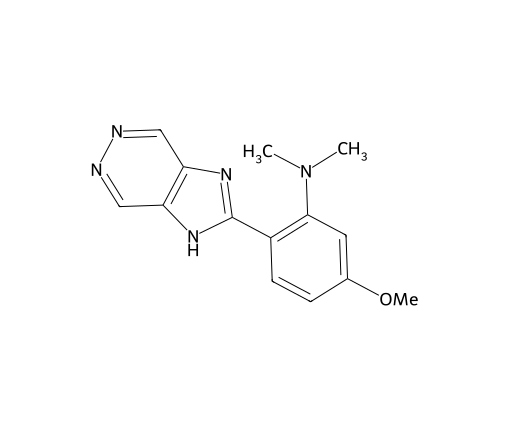 COc1ccc(-c2nc3cnncc3[nH]2)c(N(C)C)c1